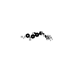 C[C@@H]1CCC[C@@H](Nc2ccc3c(c2)OCc2cc(-c4cnn(COCC[Si](C)(C)C)c4)ccc2-3)C1